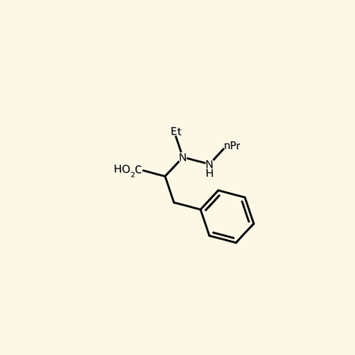 CCCNN(CC)C(Cc1ccccc1)C(=O)O